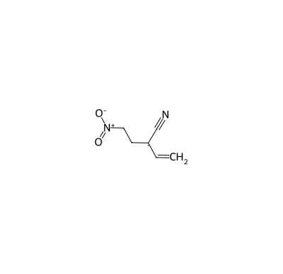 C=C[C](C#N)CC[N+](=O)[O-]